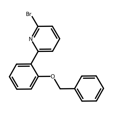 Brc1cccc(-c2ccccc2OCc2ccccc2)n1